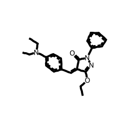 CCOC1=NN(c2ccccc2)C(=O)C1=Cc1ccc(N(CC)CC)cc1